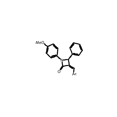 COc1ccc(N2C(=O)C(=CC(C)=O)C2c2ccccc2)cc1